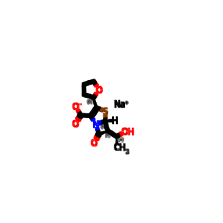 C[C@@H](O)[C@H]1C(=O)N2C(C(=O)[O-])=C([C@H]3CCCO3)S[C@H]12.[Na+]